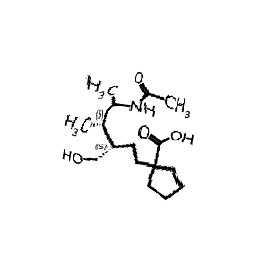 CC(=O)NC(C)[C@@H](C)[C@@H](CO)CCC1(C(=O)O)CCCC1